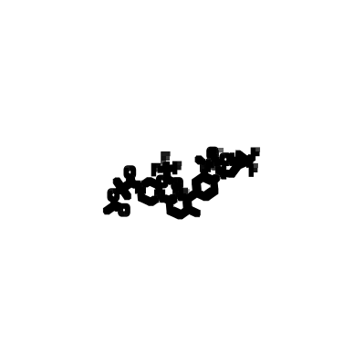 CC(=O)OC(C)(C)C(=O)N1CCN(c2ccc(C)c(-c3ccc4c(c3)N(C)S([O-])(O)N4CC3CC3(F)F)[n+]2OC(=O)C(F)(F)F)CC1